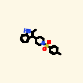 Cc1ccc(S(=O)(=O)N2CCC(c3c(C)[nH]c4ccccc34)CC2)cc1